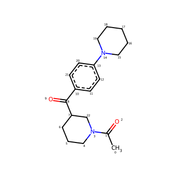 CC(=O)N1CCCC(C(=O)c2ccc(N3CCCCC3)cc2)C1